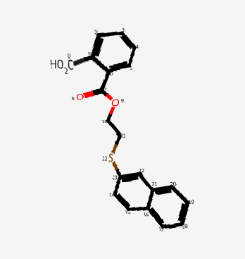 O=C(O)c1ccccc1C(=O)OCCSc1ccc2ccccc2c1